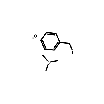 CN(C)C.FCc1ccccc1.O